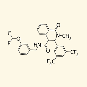 CN1C(=O)c2ccccc2C(C(=O)NCc2cccc(OC(F)F)c2)C1c1cc(C(F)(F)F)cc(C(F)(F)F)c1